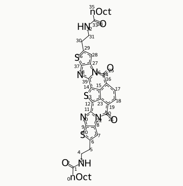 CCCCCCCCC(=O)NCCc1cc2c(nc3c4sc5c6c(ccc(c(=O)n23)c46)c(=O)n2c3cc(CCNC(=O)CCCCCCCC)sc3nc52)s1